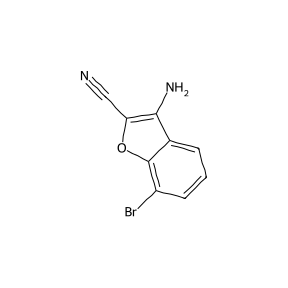 N#Cc1oc2c(Br)cccc2c1N